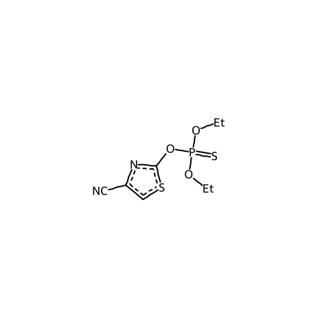 CCOP(=S)(OCC)Oc1nc(C#N)cs1